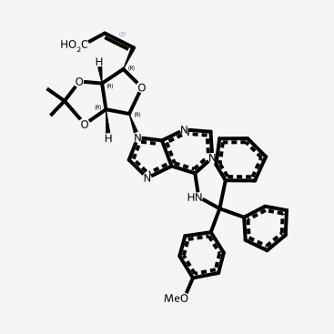 COc1ccc(C(Nc2ncnc3c2ncn3[C@@H]2O[C@H](/C=C\C(=O)O)[C@H]3OC(C)(C)O[C@H]32)(c2ccccc2)c2ccccc2)cc1